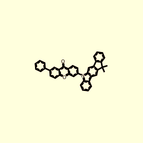 CC1(C)c2ccccc2-c2cc3c(cc21)c1ccccc1n3-c1ccc2c(=O)c3cc(-c4ccccc4)ccc3oc2c1